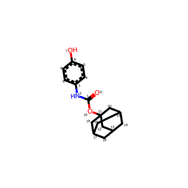 O=C(Nc1ccc(O)cc1)OC12CC3CC(CC(C3)C1)C2